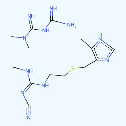 CN(C)C(=N)NC(=N)N.CN/C(=N/C#N)NCCSCc1nc[nH]c1C